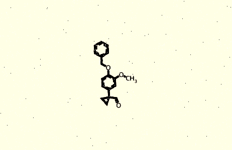 COc1cc(C2(C=O)CC2)ccc1OCc1ccccc1